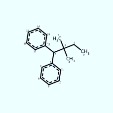 CCC(C)(C)[C](c1ccccc1)c1ccccc1